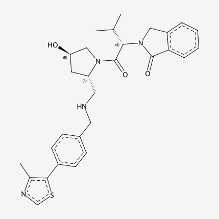 Cc1ncsc1-c1ccc(CNC[C@@H]2C[C@@H](O)CN2C(=O)[C@H](C(C)C)N2Cc3ccccc3C2=O)cc1